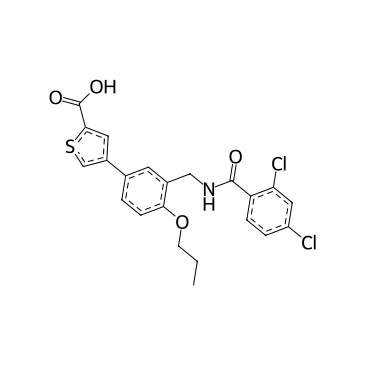 CCCOc1ccc(-c2csc(C(=O)O)c2)cc1CNC(=O)c1ccc(Cl)cc1Cl